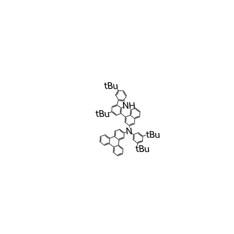 CC(C)(C)c1cc(N(c2cc(-c3cc(C(C)(C)C)cc4c3[nH]c3ccc(C(C)(C)C)cc34)c3ccccc3c2)c2ccc3c4ccccc4c4ccccc4c3c2)cc(C(C)(C)C)c1